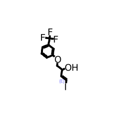 OC(/C=C/I)COc1cccc(C(F)(F)F)c1